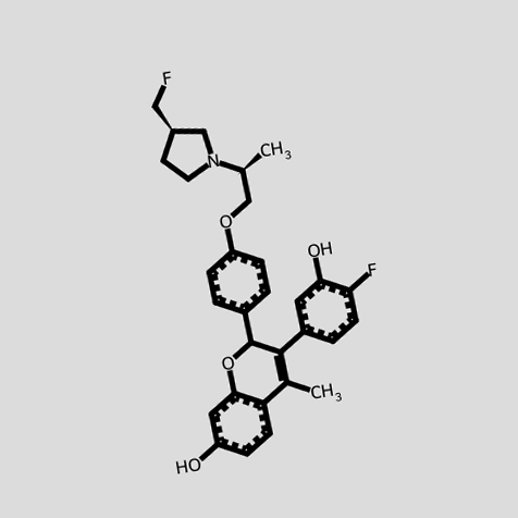 CC1=C(c2ccc(F)c(O)c2)C(c2ccc(OC[C@H](C)N3CC[C@@H](CF)C3)cc2)Oc2cc(O)ccc21